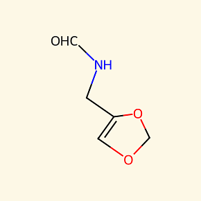 O=CNCC1=COCO1